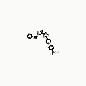 OC(O)c1ccc(N2CCC(c3nc(C4(CN[C@H]5C[C@@H]5c5ccccc5)CC4)no3)CC2)cc1